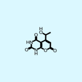 CC(O)c1cc(=O)oc2[nH]c(=O)[nH]c(=O)c12